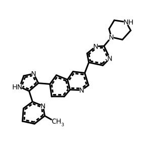 Cc1cccc(-c2[nH]cnc2-c2ccc3ncc(-c4cnc(N5CCNCC5)nc4)cc3c2)n1